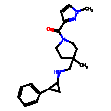 Cn1ccc(C(=O)N2CCC(C)(CN[C@H]3C[C@H]3c3ccccc3)CC2)n1